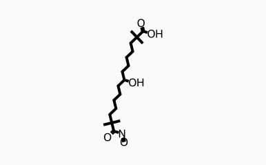 CC(C)(CCCCCC(O)CCCCCC(C)(C)C(=O)N=O)C(=O)O